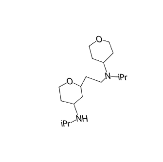 CC(C)NC1CCOC(CCN(C(C)C)C2CCOCC2)C1